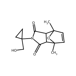 CC12C=CC(C)(O1)C1C(=O)N(C3(CO)CC3)C(=O)C12